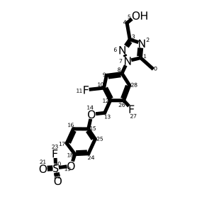 Cc1nc(CO)nn1-c1cc(F)c(COc2ccc(OS(=O)(=O)F)cc2)c(F)c1